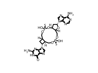 Nc1nc2c(ncn2[C@@H]2C[C@@H]3COP(O)(=S)O[C@H]4C[C@H](n5cnc6c(N)ncnc65)O[C@@H]4COP(O)(=S)OC[C@H]32)c(=O)[nH]1